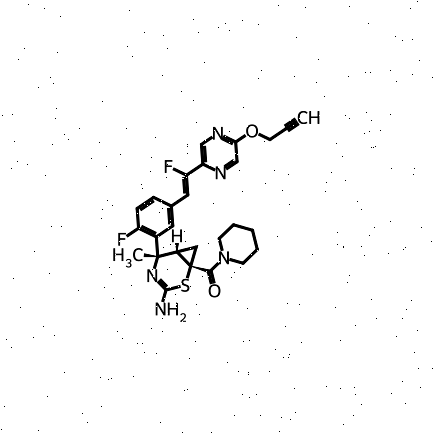 C#CCOc1cnc(/C(F)=C/c2ccc(F)c([C@@]3(C)N=C(N)S[C@@]4(C(=O)N5CCCCC5)C[C@H]43)c2)cn1